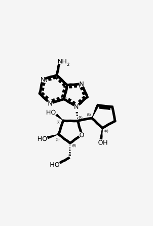 Nc1ncnc2c1ncn2[C@]1([C@H]2C=CC[C@H]2O)O[C@H](CO)[C@@H](O)[C@H]1O